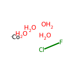 FCl.O.O.O.O.[Co]